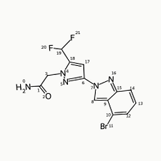 NC(=O)Cn1nc(-n2cc3c(Br)cccc3n2)cc1C(F)F